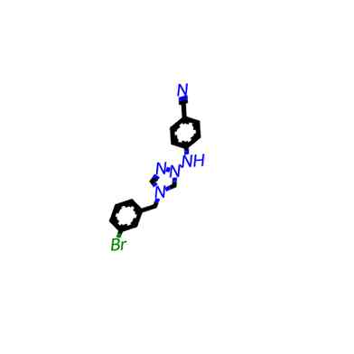 N#Cc1ccc(NN2CN(Cc3cccc(Br)c3)C=N2)cc1